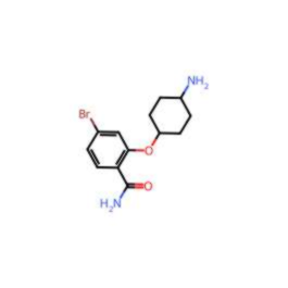 NC(=O)c1ccc(Br)cc1OC1CCC(N)CC1